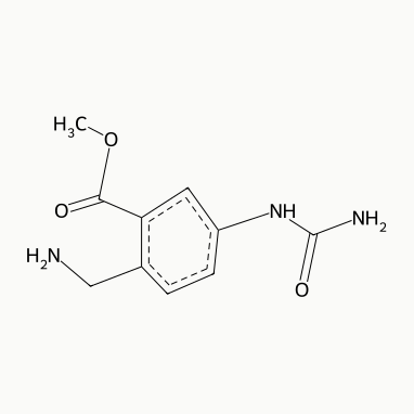 COC(=O)c1cc(NC(N)=O)ccc1CN